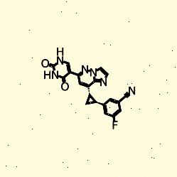 N#Cc1cc(F)cc([C@H]2C[C@@H]2c2cc(-c3c[nH]c(=O)[nH]c3=O)nn3ccnc23)c1